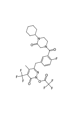 Cc1c(Cc2ccc(F)c(C(=O)N3CCN(C4CCCCC4)C(=O)C3)c2)nn(OC(=O)C(F)(F)F)c(=O)c1C(F)(F)F